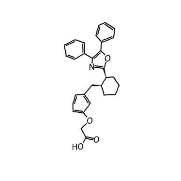 O=C(O)COc1cccc(C[C@@H]2CCCC[C@@H]2c2nc(-c3ccccc3)c(-c3ccccc3)o2)c1